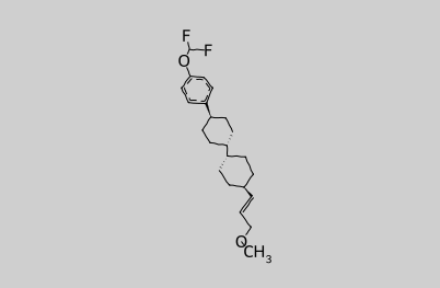 COCC=C[C@H]1CC[C@H]([C@H]2CC[C@H](c3ccc(OC(F)F)cc3)CC2)CC1